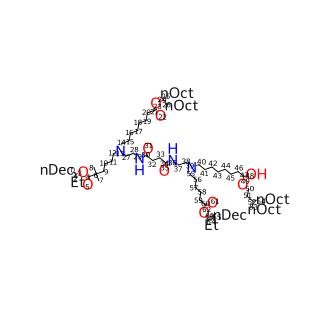 CCCCCCCCCCC(CC)OC(=O)C(C)(C)CCCCN(CCCCCCCC(=O)OC(CCCCCCCC)CCCCCCCC)CCNC(=O)CCC(=O)NCCN(CCCCCCCC(O)OCCC(CCCCCCCC)CCCCCCCC)CCCCCC(=O)O[C@@H](CC)CCCCCCCCCC